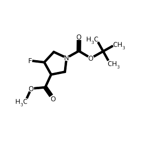 COC(=O)C1CN(C(=O)OC(C)(C)C)CC1F